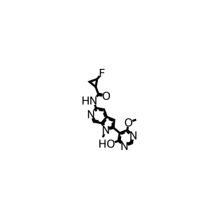 COc1ncnc(O)c1-c1cc2cc(NC(=O)C3CC3F)ncc2n1C